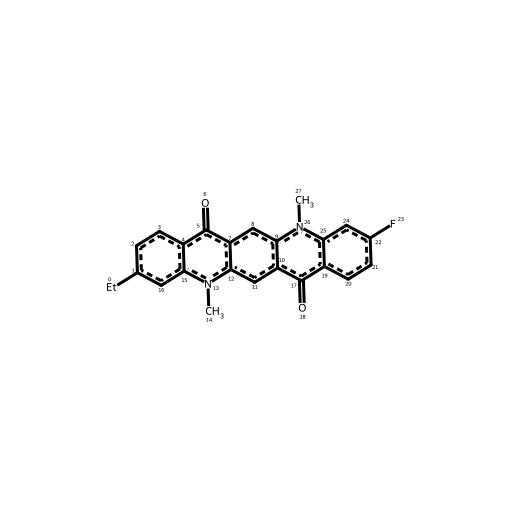 CCc1ccc2c(=O)c3cc4c(cc3n(C)c2c1)c(=O)c1ccc(F)cc1n4C